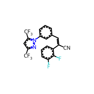 N#CC(=Cc1cccc(-n2nc(C(F)(F)F)cc2C(F)(F)F)c1)c1cccc(F)c1F